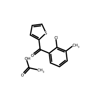 CC(=O)O.Cc1cccc(C(=O)c2cccs2)c1Cl